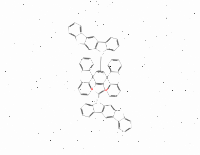 c1ccc2c(c1)Sc1ccccc1C21c2cc(-n3c4ccccc4c4cc5c(cc43)sc3ccccc35)sc2C2(c3ccccc3Sc3ccccc32)c2cc(-n3c4ccccc4c4cc5c(cc43)sc3ccccc35)sc21